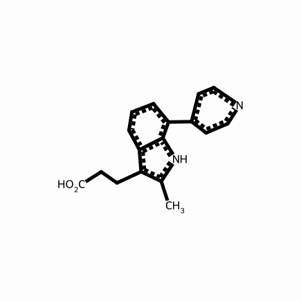 Cc1[nH]c2c(-c3ccncc3)cccc2c1CCC(=O)O